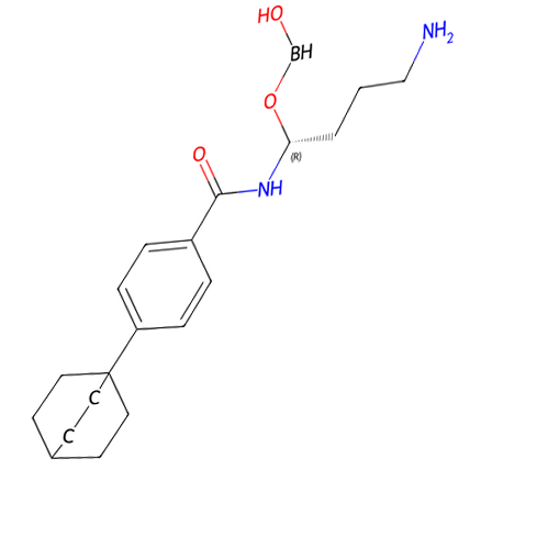 NCCC[C@H](NC(=O)c1ccc(C23CCC(CC2)CC3)cc1)OBO